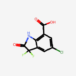 O=C(O)c1cc(Cl)cc2c1NC(=O)C2(F)F